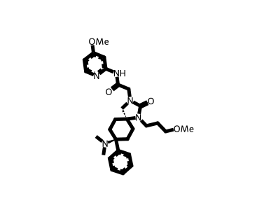 COCCCN1C(=O)N(CC(=O)Nc2cc(OC)ccn2)C[C@]12CC[C@](c1ccccc1)(N(C)C)CC2